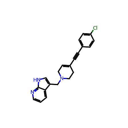 Clc1ccc(C#CC2=CCN(Cc3c[nH]c4ncccc34)CC2)cc1